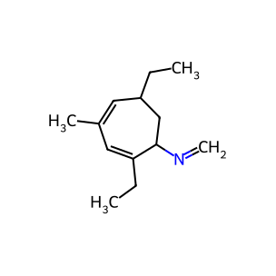 C=NC1CC(CC)C=C(C)C=C1CC